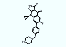 O=c1[nH]sc2c1c(=O)c1cc(F)c(-c3ccc(CN4CCNCC4)cc3)cc1n2C1CC1